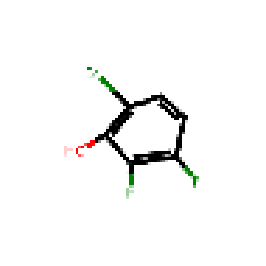 Oc1c(Br)ccc(F)c1F